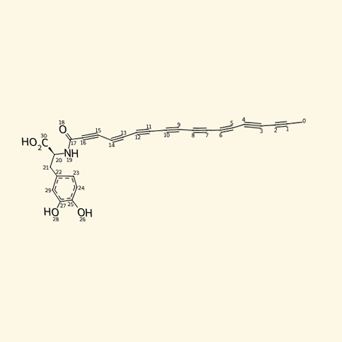 CC#CC#CC#CC#CC#CC#CC#CC#CC(=O)N[C@@H](Cc1ccc(O)c(O)c1)C(=O)O